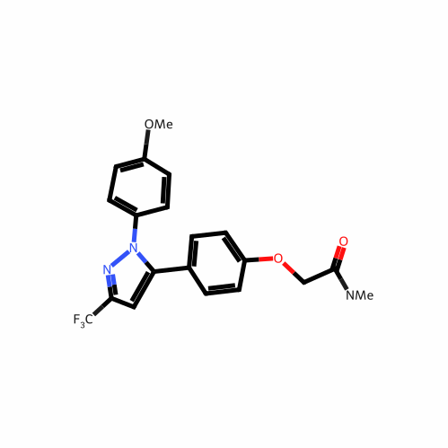 CNC(=O)COc1ccc(-c2cc(C(F)(F)F)nn2-c2ccc(OC)cc2)cc1